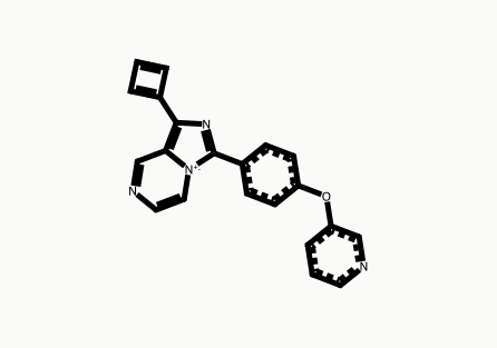 C1=CC(C2=C3C=NC=C[N+]3C(c3ccc(Oc4cccnc4)cc3)=N2)=C1